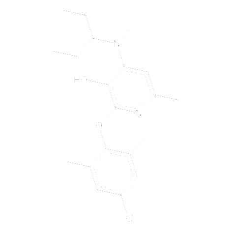 CCC(CC)N(C)c1cc(C)nc(Oc2c(C)cc(Cl)cc2C)c1O